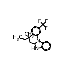 CCC1(C)CC2Nc3ccccc3N2c2cc(C(F)(F)F)ccc21